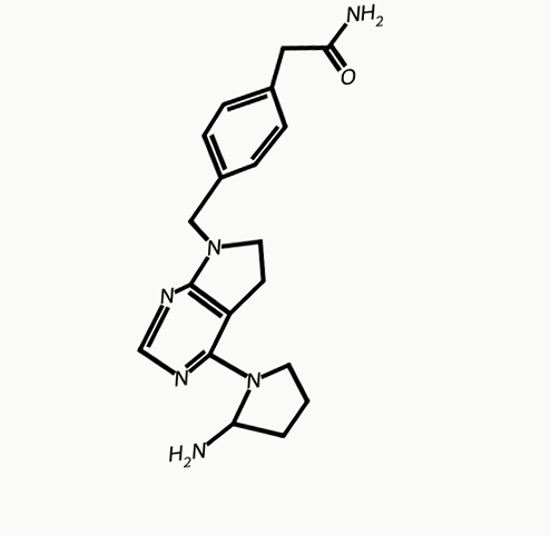 NC(=O)Cc1ccc(CN2CCc3c2ncnc3N2CCCC2N)cc1